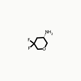 N[C@@H]1COCC(F)(F)C1